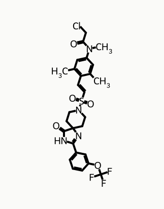 Cc1cc(N(C)C(=O)CCl)cc(C)c1C=CS(=O)(=O)N1CCC2(CC1)N=C(c1cccc(OC(F)(F)F)c1)NC2=O